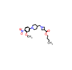 CCCCOC(=O)C1CN(CC2CCN(c3ccc([N+](=O)[O-])c(OC)c3)CC2)C1